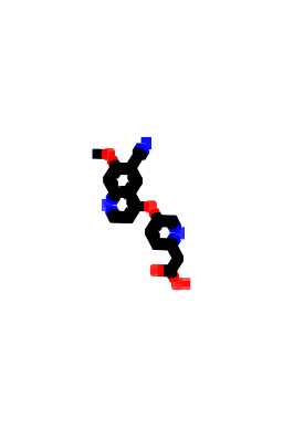 COc1cc2nccc(Oc3ccc(CC(=O)O)nc3)c2cc1C#N